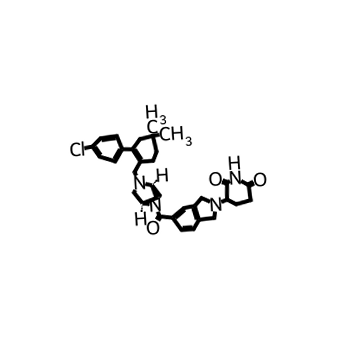 CC1(C)CCC(CN2C[C@H]3C[C@@H]2CN3C(=O)c2ccc3c(c2)CN(C2CCC(=O)NC2=O)C3)=C(c2ccc(Cl)cc2)C1